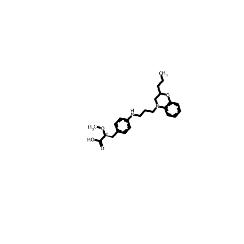 CCCC1CN(CCCNc2ccc(C[C@H](OC)C(=O)O)cc2)c2ccccc2O1